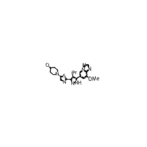 COc1cc(-c2[nH]nc(-c3ncc(N4CCC(=O)CC4)s3)c2C(C)C)cn2ncnc12